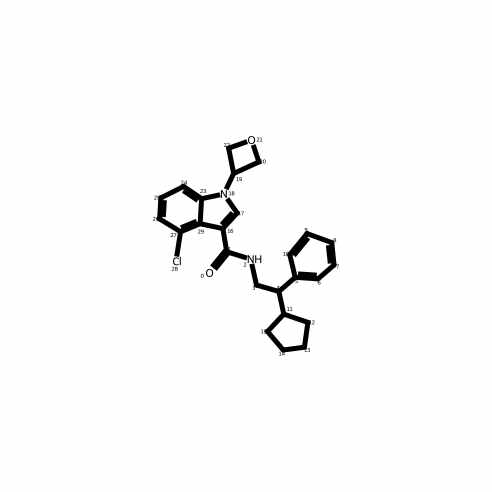 O=C(NCC(c1ccccc1)C1CCCC1)c1cn(C2COC2)c2cccc(Cl)c12